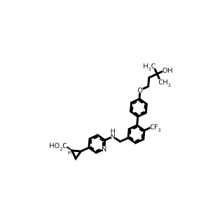 CC(C)(O)CCOc1ccc(-c2cc(CNc3ccc(C4C[C@H]4C(=O)O)cn3)ccc2C(F)(F)F)cc1